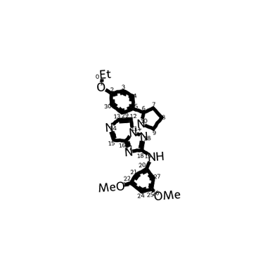 CCOc1ccc(C2CCCN2[N+]23C=CN=CC2=NC(Nc2cc(OC)cc(OC)c2)=N3)cc1